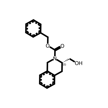 O=C(OCc1ccccc1)N1Cc2ccccc2C[C@H]1CO